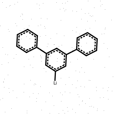 [Li][c]1cc(-c2ccccc2)cc(-c2ccccc2)c1